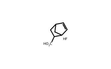 F.O=C(O)C1CC2C=CC1C2